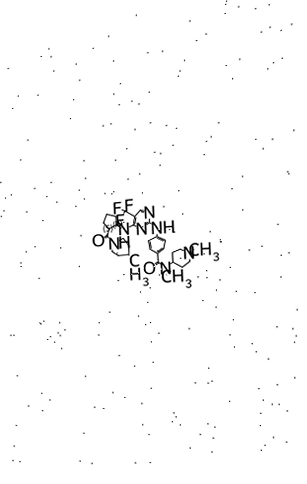 CC1CCN(C(=O)[C@H]2CCC[C@H]2Nc2nc(Nc3ccc(C(=O)N(C)C4CCN(C)CC4)cc3)ncc2C(F)(F)F)CC1